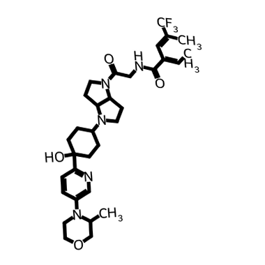 C/C=C(\C=C(/C)C(F)(F)F)C(=O)NCC(=O)N1CCC2C1CCN2C1CCC(O)(c2ccc(N3CCOCC3C)cn2)CC1